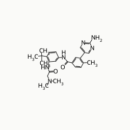 Cc1ccc(C(=O)Nc2ccc(C(C)(C)C)c(NC(=O)CN(C)C)c2)cc1-c1cnc(N)nc1